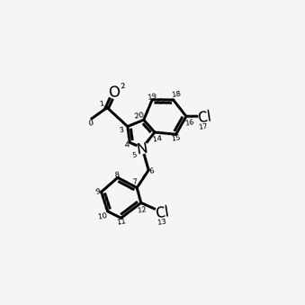 CC(=O)c1cn(Cc2ccccc2Cl)c2cc(Cl)ccc12